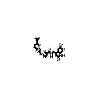 O=C(NCc1cc(=O)[nH]c2ccc(Br)cc12)c1cnn(Cc2cn3cc(C4CC4)ccc3n2)c1